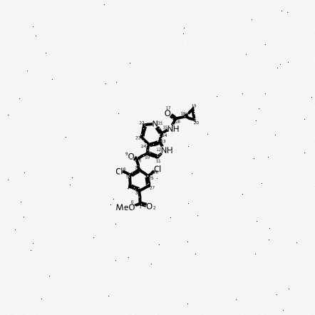 COC(=O)c1cc(Cl)c(C(=O)c2c[nH]c3c(NC(=O)C4CC4)nccc23)c(Cl)c1